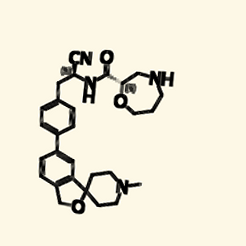 CN1CCC2(CC1)OCc1ccc(-c3ccc(C[C@@H](C#N)NC(=O)[C@@H]4CNCCCO4)cc3)cc12